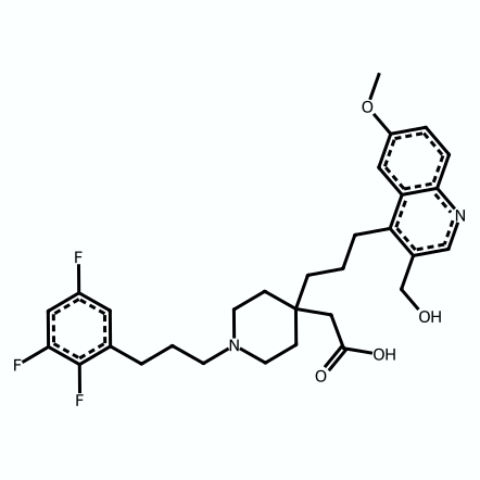 COc1ccc2ncc(CO)c(CCCC3(CC(=O)O)CCN(CCCc4cc(F)cc(F)c4F)CC3)c2c1